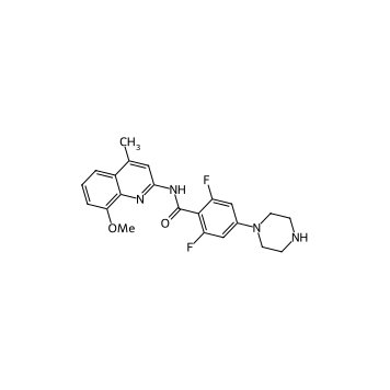 COc1cccc2c(C)cc(NC(=O)c3c(F)cc(N4CCNCC4)cc3F)nc12